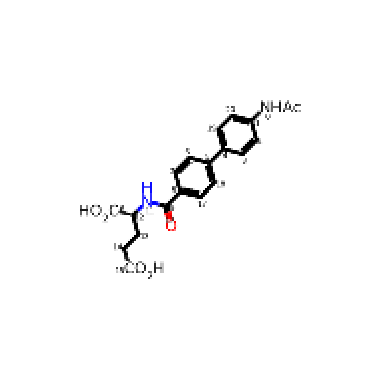 CC(=O)Nc1ccc(-c2ccc(C(=O)N[C@@H](CCC(=O)O)C(=O)O)cc2)cc1